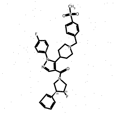 CS(=O)(=O)c1ccc(CN2CCC(c3c(C(=O)N4C[C@@H](F)[C@@H](c5ccccc5)C4)cnn3-c3ccc(F)cc3)CC2)cc1